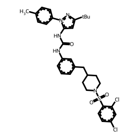 Cc1ccc(-n2nc(C(C)(C)C)cc2NC(=O)Nc2cccc(CC3CCN(S(=O)(=O)c4ccc(Cl)cc4Cl)CC3)c2)cc1